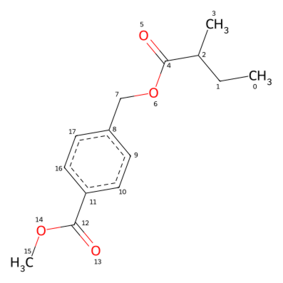 CCC(C)C(=O)OCc1ccc(C(=O)OC)cc1